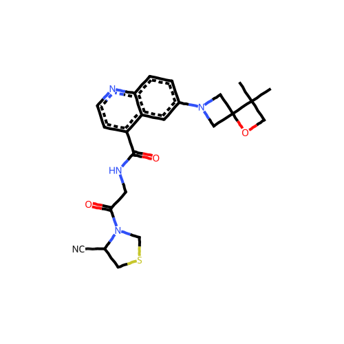 CC1(C)COC12CN(c1ccc3nccc(C(=O)NCC(=O)N4CSCC4C#N)c3c1)C2